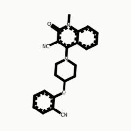 Cn1c(=O)c(C#N)c(N2CCC(Oc3ccccc3C#N)CC2)c2ccccc21